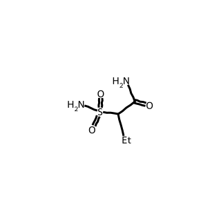 CCC(C(N)=O)S(N)(=O)=O